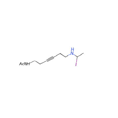 CC(=O)NCCC#CCCNC(C)I